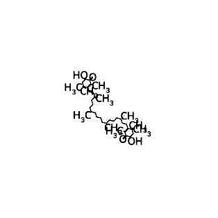 CC1=C(CCC(C)CCCC(C)CCCCC(C)CCC[C@H](C)CCC2=C(C)C(=O)[C@@H](O)CC2(C)C)C(C)(C)C[C@H](O)C1=O